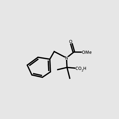 COC(=O)N(Cc1ccccc1)C(C)(C)C(=O)O